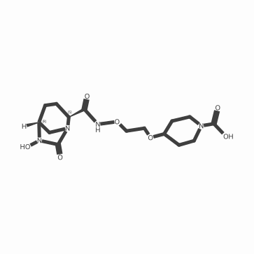 O=C(NOCCOC1CCN(C(=O)O)CC1)[C@@H]1CC[C@@H]2CN1C(=O)N2O